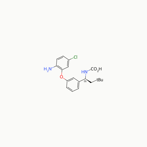 CC(C)(C)C[C@H](NC(=O)O)c1cccc(Oc2cc(Cl)ccc2N)c1